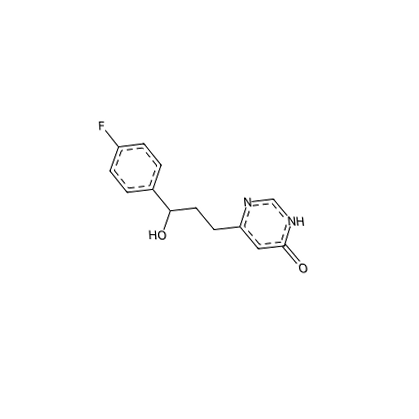 O=c1cc(CCC(O)c2ccc(F)cc2)nc[nH]1